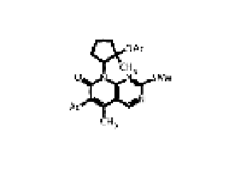 CSc1ncc2c(C)c(C(C)=O)c(=O)n(C3CCCC3(C)OC(C)=O)c2n1